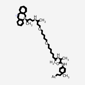 C=C(CCOCCCCCOCCCCCCC(=C)NC(C)C(=O)NC1=CCC(C)(CCC(C)=O)C=C1)NCCC(=C)N1CC2=C(C=CC=C=C2)/C=C\C2=C1C=CCC2